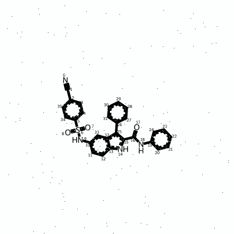 N#Cc1ccc(S(=O)(=O)Nc2ccc3[nH]c(C(=O)Nc4ccccc4)c(-c4ccccc4)c3c2)cc1